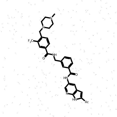 CC(=O)c1cc2cc(NC(=O)c3cccc(CNC(=O)c4ccc(CN5CCN(C)CC5)c(C(F)(F)F)c4)c3)cnc2[nH]1